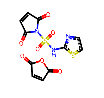 O=C1C=CC(=O)N1S(=O)(=O)Nc1nccs1.O=C1C=CC(=O)O1